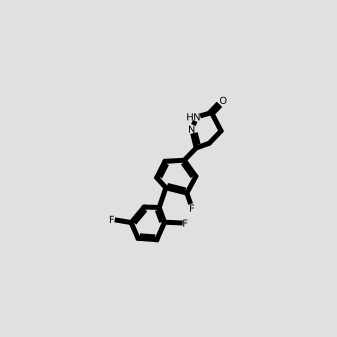 O=C1CCC(c2ccc(-c3cc(F)ccc3F)c(F)c2)=NN1